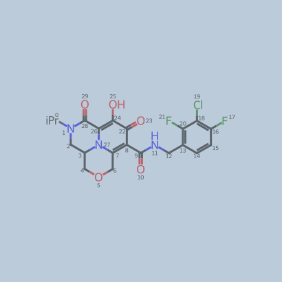 CC(C)N1CC2COCc3c(C(=O)NCc4ccc(F)c(Cl)c4F)c(=O)c(O)c(n32)C1=O